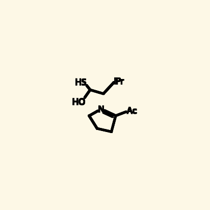 CC(=O)C1=NCCC1.CC(C)CC(O)S